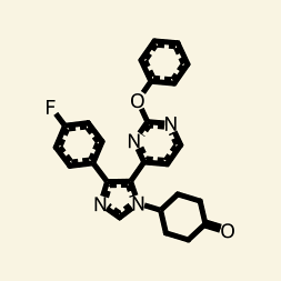 O=C1CCC(n2cnc(-c3ccc(F)cc3)c2-c2ccnc(Oc3ccccc3)n2)CC1